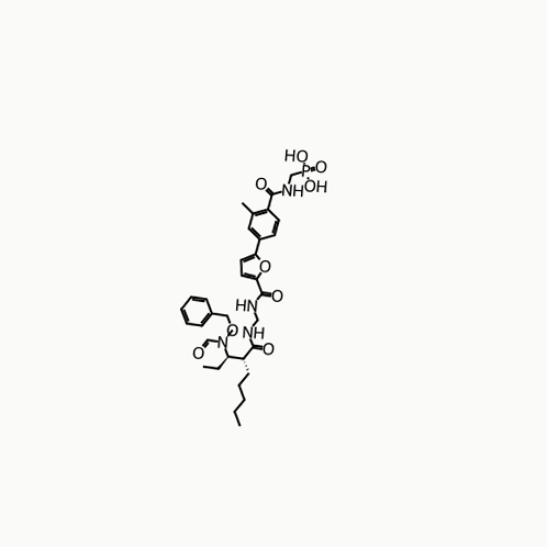 CCCCC[C@@H](C(=O)NCNC(=O)c1ccc(-c2ccc(C(=O)NCP(=O)(O)O)c(C)c2)o1)[C@@H](CC)N(C=O)OCc1ccccc1